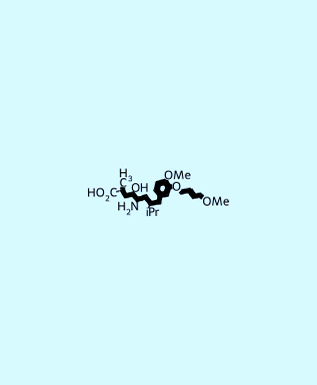 COCC=CCOc1cc(C[C@@H](C[C@H](N)[C@@H](O)C[C@@H](C)C(=O)O)C(C)C)ccc1OC